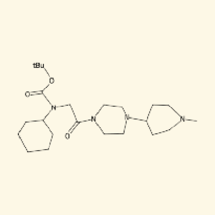 CN1CCC(N2CCN(C(=O)CN(C(=O)OC(C)(C)C)C3CCCCC3)CC2)CC1